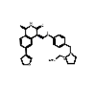 COC[C@@H]1CCCN1Cc1ccc(N/C=C2\C(=O)NC(=O)c3ccc(C4=CSCC4)cc32)cc1